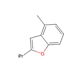 Cc1cccc2oc(C(C)C)cc12